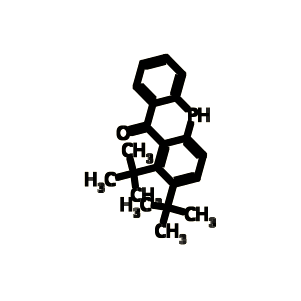 CC(C)(C)c1ccc2[pH]c3ccccc3c(=O)c2c1C(C)(C)C